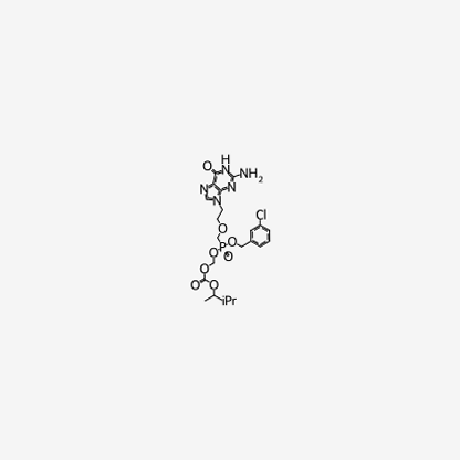 CC(C)C(C)OC(=O)OCOP(=O)(COCCn1cnc2c(=O)[nH]c(N)nc21)OCc1cccc(Cl)c1